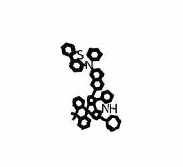 CC1(C)c2ccccc2C2(c3ccccc31)c1ccc(C3=CC=CCC#C3)c3c1-c1c2ccc(-c2ccc4ccc(N(c5ccccc5)c5cccc6c5sc5ccccc56)cc4c2)c1-c1ccccc1N3